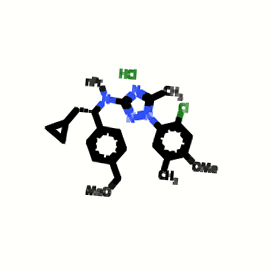 CCCN(c1nc(C)n(-c2cc(C)c(OC)cc2Cl)n1)[C@@H](CC1CC1)c1ccc(COC)cc1.Cl